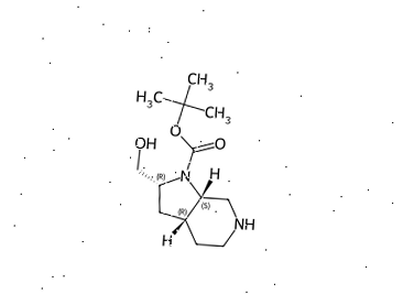 CC(C)(C)OC(=O)N1[C@@H](CO)C[C@H]2CCNC[C@H]21